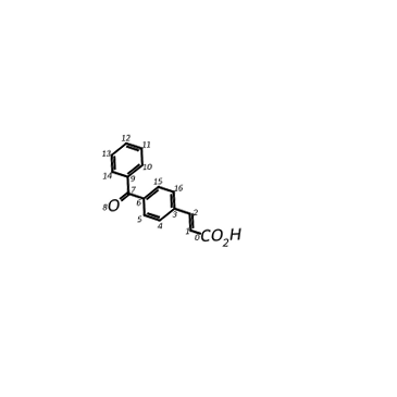 O=C(O)C=Cc1ccc(C(=O)c2ccccc2)cc1